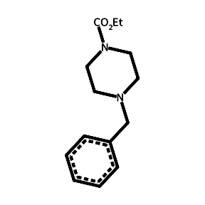 CCOC(=O)N1CCN(Cc2ccccc2)CC1